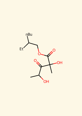 CCCCC(CC)COC(=O)C(C)(O)C(=O)C(C)O